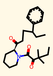 CCC(CCC(=O)[C@@H]1CCCCN1C(=O)C(=O)C(C)(C)CC)c1ccccc1